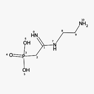 N=C(CP(=O)(O)O)NCCN